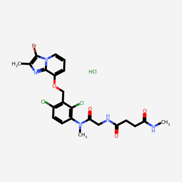 CNC(=O)CCC(=O)NCC(=O)N(C)c1ccc(Cl)c(COc2cccn3c(Br)c(C)nc23)c1Cl.Cl